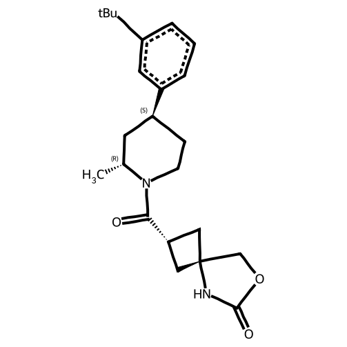 C[C@@H]1C[C@@H](c2cccc(C(C)(C)C)c2)CCN1C(=O)[C@H]1C[C@]2(COC(=O)N2)C1